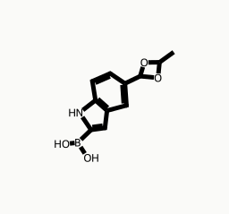 CC1OC(c2ccc3[nH]c(B(O)O)cc3c2)O1